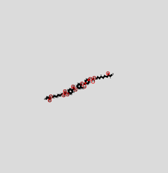 C=CC(=O)CCCCCCCOC(=O)Oc1ccc(C(=O)Oc2ccc(OC(=O)c3ccc(OC(=O)OCCCCCCOC(=O)C=C)cc3)cc2C)cc1